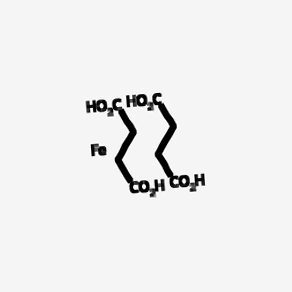 O=C(O)CCC(=O)O.O=C(O)CCC(=O)O.[Fe]